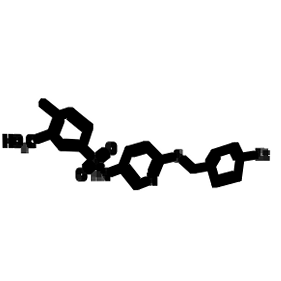 CCc1ccc(CSc2ccc(NS(=O)(=O)c3ccc(C)c(C(=O)O)c3)cn2)cc1